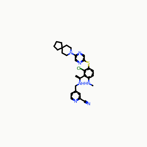 C=C(NCc1ccnc(C#N)c1)c1c(NC)ccc(Sc2cnc(N3CCC4(CCCC4)CC3)cn2)c1Cl